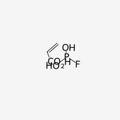 C=CC(=O)O.OP(O)F